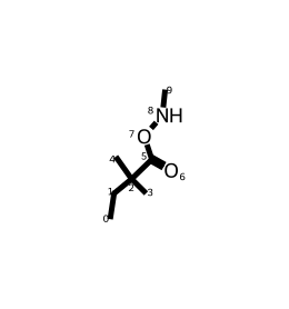 CCC(C)(C)C(=O)ONC